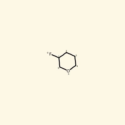 FC1[CH]CCOC1